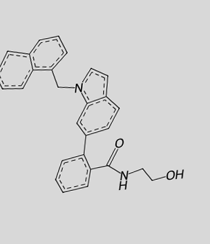 O=C(NCCO)c1ccccc1-c1ccc2ccn(Cc3cccc4ccccc34)c2c1